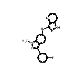 Cn1nc(-c2cccc(F)c2)c2ccc(Nc3n[nH]c4cccnc34)cc21